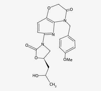 COc1ccc(CN2C(=O)COc3ccc(N4C[C@@H](CC(C)O)OC4=O)nc32)cc1